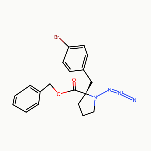 [N-]=[N+]=NN1CCC[C@]1(Cc1ccc(Br)cc1)C(=O)OCc1ccccc1